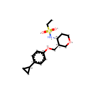 CCS(=O)(=O)N[C@@H]1CCOC[C@H]1COc1ccc(C2CC2)cc1